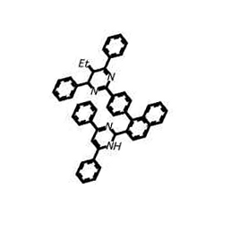 CCC1C(c2ccccc2)=NC(c2ccc(-c3c(C4N=C(c5ccccc5)C=C(c5ccccc5)N4)ccc4ccccc34)cc2)=NC1c1ccccc1